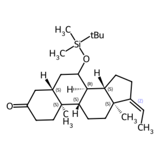 C/C=C1/CC[C@H]2[C@@H]3C(O[Si](C)(C)C(C)(C)C)C[C@H]4CC(=O)CC[C@]4(C)[C@H]3CC[C@]12C